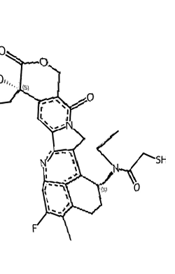 CCN(C(=O)CS)[C@H]1CCc2c(C)c(F)cc3nc4c(c1c23)Cn1c-4cc2c(c1=O)COC(=O)[C@]2(O)CC